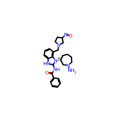 NN1CCCC[C@@H](N2c3c(CN4CCC(N=O)C4)cccc3NC2NC(=O)c2ccccc2)C1